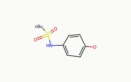 CCCCS(=O)(=O)Nc1ccc([O])cc1